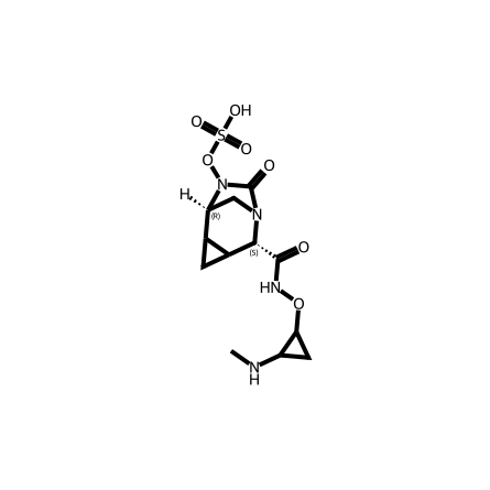 CNC1CC1ONC(=O)[C@@H]1C2CC2[C@@H]2CN1C(=O)N2OS(=O)(=O)O